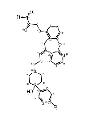 CCN(CC)C(=O)COc1cccc2c1C/C(=C/CCN1CCC(O)(c3ccc(Cl)cc3)CC1)c1cccnc1O2